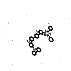 C1=CCC(C2=NC(c3ccccc3)=NC(c3ccc4sc5cc(-c6ccc7oc8ccc(-n9c%10ccccc%10c%10ccccc%109)cc8c7c6)ccc5c4c3)N2)C=C1